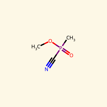 COP(C)(=O)C#N